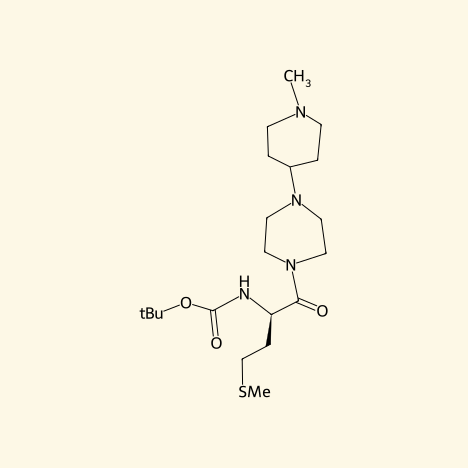 CSCC[C@@H](NC(=O)OC(C)(C)C)C(=O)N1CCN(C2CCN(C)CC2)CC1